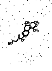 CC[C@H]1C(C)Cc2cc(C(=O)NCCO)ccc2N1C(C)=O